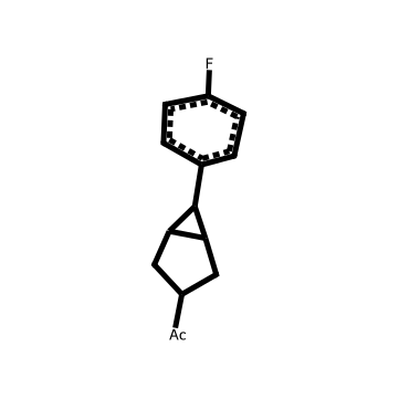 CC(=O)C1CC2C(C1)C2c1ccc(F)cc1